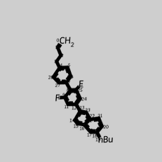 C=CCCc1ccc(-c2c(F)cc(-c3ccc4cc(CCCC)ccc4c3)cc2F)cc1